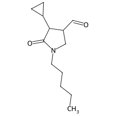 CCCCCN1CC(C=O)C(C2CC2)C1=O